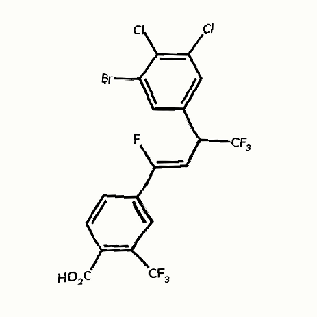 O=C(O)c1ccc(C(F)=CC(c2cc(Cl)c(Cl)c(Br)c2)C(F)(F)F)cc1C(F)(F)F